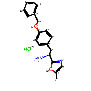 Cc1cnc([C@@H](N)Cc2ccc(OCc3ccccc3)cc2)o1.Cl